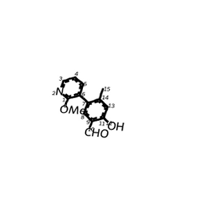 COc1ncccc1-c1cc(C=O)c(O)cc1C